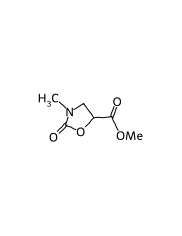 COC(=O)C1CN(C)C(=O)O1